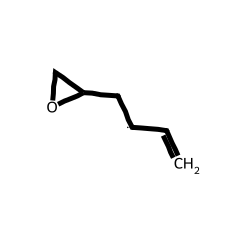 C=C[CH]CC1CO1